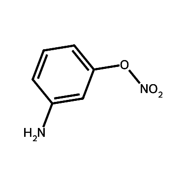 Nc1cccc(O[N+](=O)[O-])c1